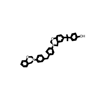 CC(C)(c1ccc(O)cc1)c1ccc2c(c1)CN(c1ccc(Cc3ccc(N4COc5ccccc5C4)cc3)cc1)CO2